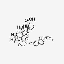 CCc1ccc2ccc(/C=C/C(CC3CC3)C(=O)NC(C(=O)NC(C)C(=O)N3CCCC(C(=O)O)N3)C(C)C)cc2n1